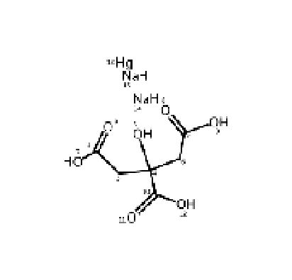 O=C(O)CC(O)(CC(=O)O)C(=O)O.[Hg].[NaH].[NaH]